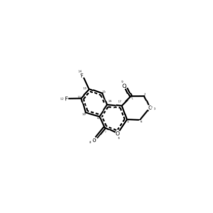 O=C1COCc2oc(=O)c3cc(F)c(F)cc3c21